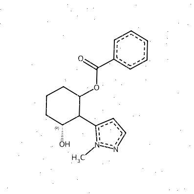 Cn1nccc1C1C(OC(=O)c2ccccc2)CCC[C@H]1O